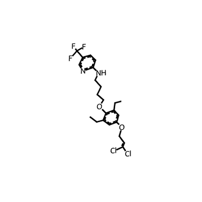 CCc1cc(OCC=C(Cl)Cl)cc(CC)c1OCCCCNc1ccc(C(F)(F)F)cn1